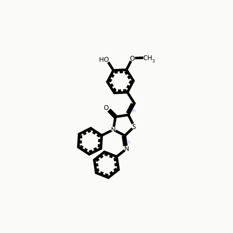 COc1cc(/C=C2/S/C(=N/c3ccccc3)N(c3ccccc3)C2=O)ccc1O